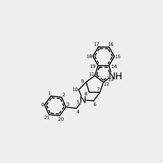 c1ccc(CN2CC3CC(C2)c2c3[nH]c3ccccc23)cc1